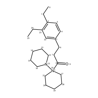 CCc1ccc(CCC(=O)[N+]2(N3CCCCC3)CCCCC2)cc1CC